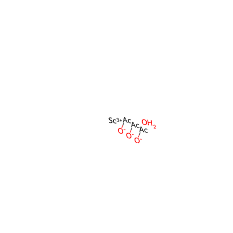 CC(=O)[O-].CC(=O)[O-].CC(=O)[O-].O.[Sc+3]